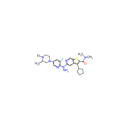 CCN1CCN(c2cnc(N(N)c3cc4c(C5CCCC5)c(C(=O)N(C)C)sc4cn3)c(F)c2)C[C@H]1C